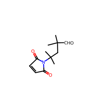 CC(C)(C=O)CC(C)(C)N1C(=O)C=CC1=O